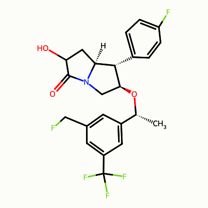 C[C@@H](O[C@H]1CN2C(=O)C(O)C[C@H]2[C@@H]1c1ccc(F)cc1)c1cc(CF)cc(C(F)(F)F)c1